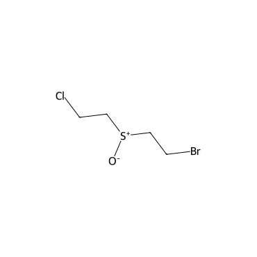 [O-][S+](CCCl)CCBr